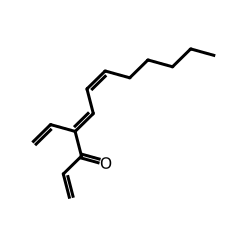 C=CC(=O)/C(C=C)=C/C=C\CCCCC